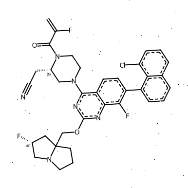 C=C(F)C(=O)N1CCN(c2nc(OCC34CCCN3C[C@H](F)C4)nc3c(F)c(-c4cccc5cccc(Cl)c45)ccc23)C[C@@H]1CC#N